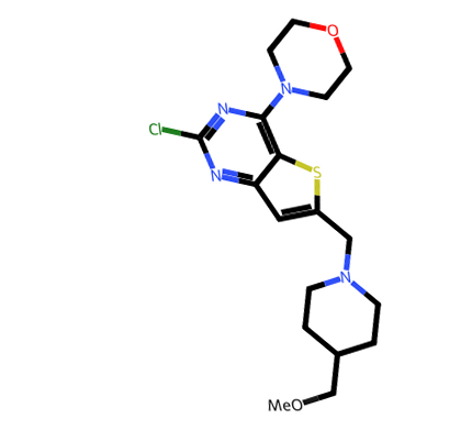 COCC1CCN(Cc2cc3nc(Cl)nc(N4CCOCC4)c3s2)CC1